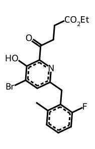 CCOC(=O)CCC(=O)c1nc(Cc2c(C)cccc2F)cc(Br)c1O